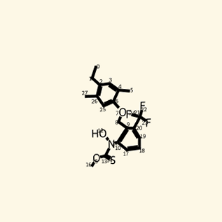 CCc1cc(C)c(OCc2c(N(O)C(=S)OC)cccc2C(F)(F)F)cc1C